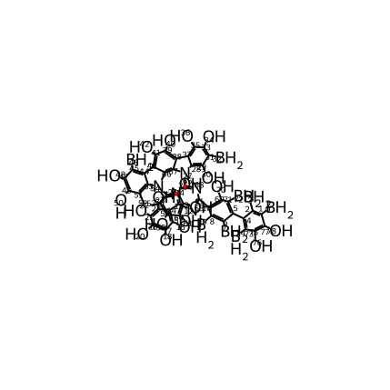 Bc1c(B)c(-c2c(B)c(B)c(-c3nc(-c4c(O)c(O)c(O)c(O)c4O)nc(-n4c5c(O)c(B)c(O)c(O)c5c5c(O)c(O)c6c7c(B)c(O)c(O)c(C)c7n(-c7c(C)c(O)c(O)c(O)c7O)c6c54)n3)c(O)c2B)c(B)c(O)c1O